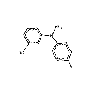 CCc1cccc(N(N)c2ccc(C)cc2)c1